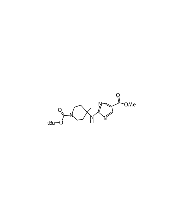 COC(=O)c1cnc(NC2(C)CCN(C(=O)OC(C)(C)C)CC2)nc1